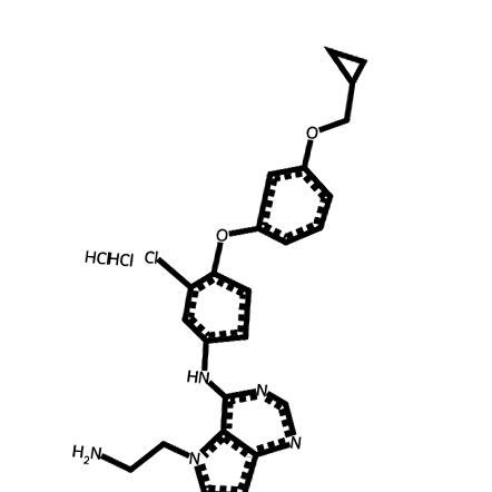 Cl.Cl.NCCn1ccc2ncnc(Nc3ccc(Oc4cccc(OCC5CC5)c4)c(Cl)c3)c21